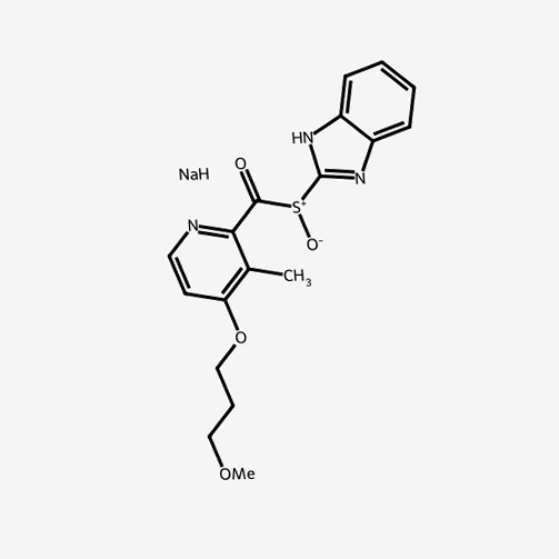 COCCCOc1ccnc(C(=O)[S+]([O-])c2nc3ccccc3[nH]2)c1C.[NaH]